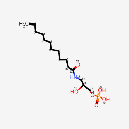 C=CCCCCCCCCCC(=O)NCC(O)COP(=O)(O)O